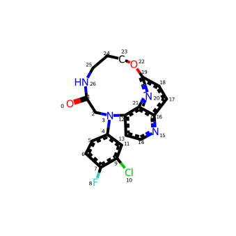 O=C1CN(c2ccc(F)c(Cl)c2)c2ccnc3ccc(nc23)OCCCN1